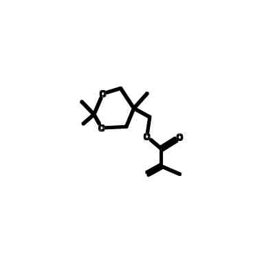 C=C(C)C(=O)OCC1(C)COC(C)(C)OC1